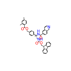 Cc1ccc(C(=O)OCc2ccc([C@@H](CNC(=O)OCC3c4ccccc4-c4ccccc43)NC(=O)c3ccc4cnccc4c3)cc2)c(C)c1